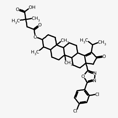 CC(C)C1=C2C3CCC4C(C)(CCC5C(C)C(OC(=O)CC(C)(C)C(=O)O)CCC54C)C3CCC2(c2nnc(-c3ccc(Cl)cc3Cl)o2)CC1=O